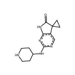 O=C1Nc2nc(NC3CCNCC3)ncc2C12CC2